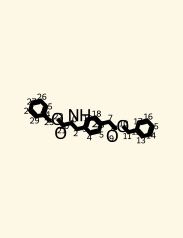 N[C@@H](Cc1ccc(CC(=O)OCc2ccccc2)cc1)C(=O)OCc1ccccc1